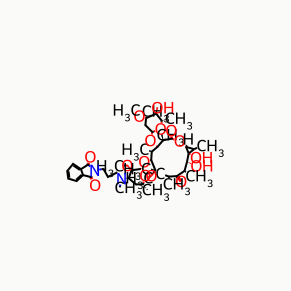 CO[C@H]1[C@H](O[C@@H]2[C@@H](C)[C@H](O[C@H]3C[C@@](C)(OC)[C@@H](O)[C@H](C)O3)[C@@H](C)C(=O)O[C@@H]3C(C)[C@]3(O)[C@H](O)[C@@H](C)C(=O)[C@H](C)C[C@]2(C)OC)O[C@H](C)C[C@@H]1N(C)CCCN1C(=O)c2ccccc2C1=O